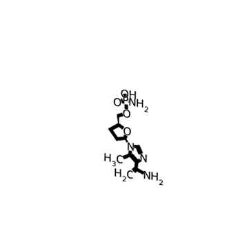 C=C(N)c1ncn([C@H]2CC[C@@H](COP(N)(=O)O)O2)c1C